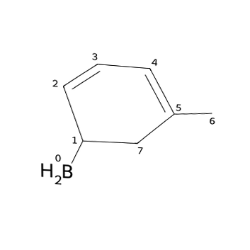 BC1C=CC=C(C)C1